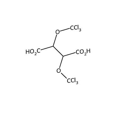 O=C(O)C(OC(Cl)(Cl)Cl)C(OC(Cl)(Cl)Cl)C(=O)O